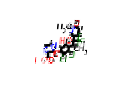 CC(c1ccc(Oc2nccnc2C(=O)O)c(Cl)c1Cl)C(O)(c1ccc(=O)n(C)c1)C(F)(F)F